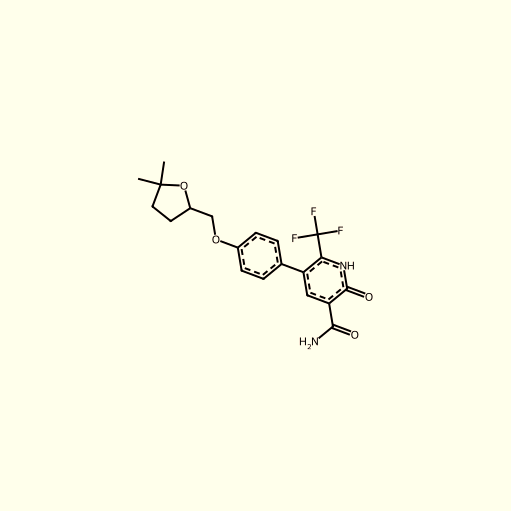 CC1(C)CCC(COc2ccc(-c3cc(C(N)=O)c(=O)[nH]c3C(F)(F)F)cc2)O1